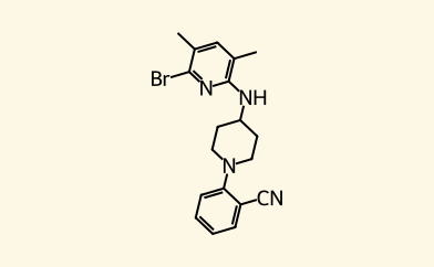 Cc1cc(C)c(NC2CCN(c3ccccc3C#N)CC2)nc1Br